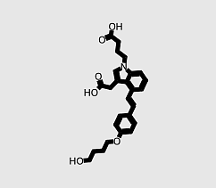 O=C(O)CCCn1cc(CC(=O)O)c2c(/C=C/c3ccc(OCCCCO)cc3)cccc21